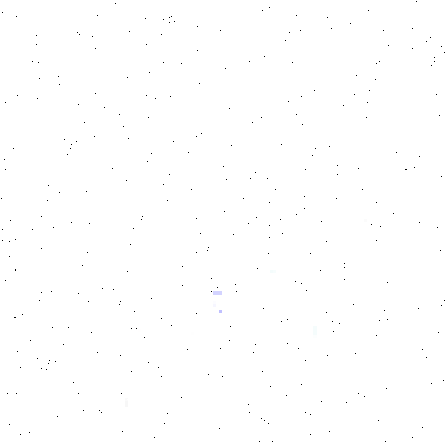 CC(C)Cc1cccc(-c2ccc(CC(=O)OCC(F)(F)CNC(=O)OC(C)(C)C)cc2)c1